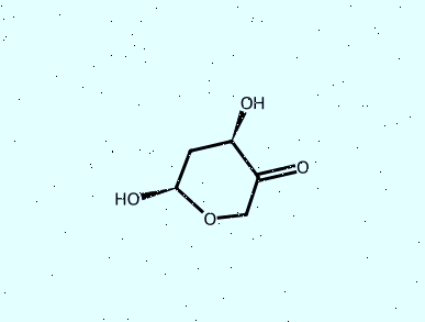 O=C1CO[C@@H](O)C[C@H]1O